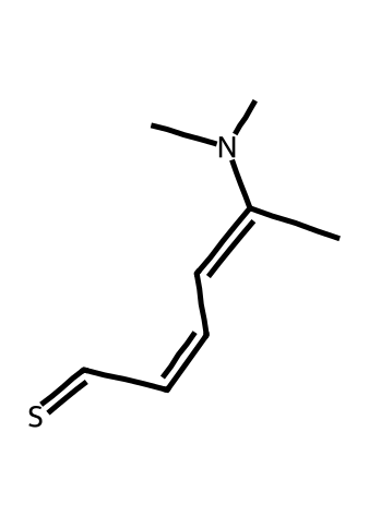 C/C(=C\C=C/C=S)N(C)C